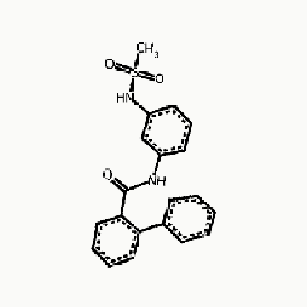 CS(=O)(=O)Nc1cccc(NC(=O)c2ccccc2-c2ccccc2)c1